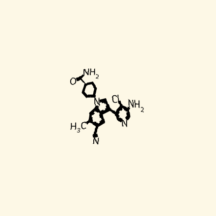 Cc1cc2c(cc1C#N)c(-c1cncc(N)c1Cl)cn2[C@H]1CC[C@H](C(N)=O)CC1